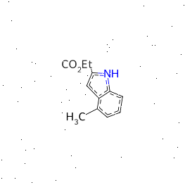 CCOC(=O)c1cc2c(C)cccc2[nH]1